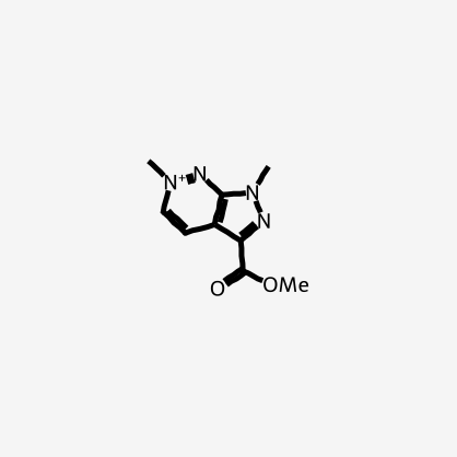 COC(=O)c1nn(C)c2n[n+](C)ccc12